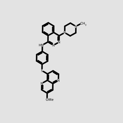 COc1cnc2c(Sc3ccc(Nc4nnc(N5CCN(C)CC5)c5ccccc45)cc3)ccnc2c1